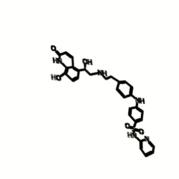 O=c1ccc2c([C@@H](O)CNCCc3ccc(Nc4ccc(S(=O)(=O)Nc5ccccn5)cc4)cc3)ccc(O)c2[nH]1